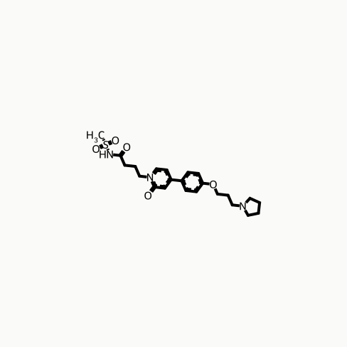 CS(=O)(=O)NC(=O)CCCn1ccc(-c2ccc(OCCCN3CCCC3)cc2)cc1=O